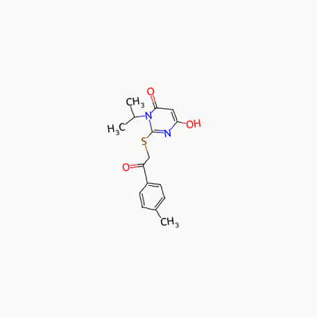 Cc1ccc(C(=O)CSc2nc(O)cc(=O)n2C(C)C)cc1